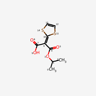 CC(C)OC(=O)C(C(=O)O)=C1SC=CS1